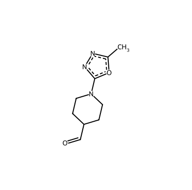 Cc1nnc(N2CCC(C=O)CC2)o1